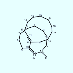 CN1CCCCCCCCC(/C2=C/CCCCCCCCC2)=N/1